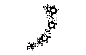 Cn1cc2c(C(=O)N[C@H]3CC[C@H](CCN4CCc5sc(OCC(F)(F)F)nc5C4)CC3)cccc2n1